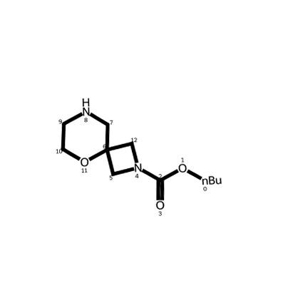 CCCCOC(=O)N1CC2(CNCCO2)C1